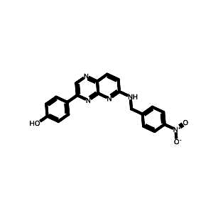 O=[N+]([O-])c1ccc(CNc2ccc3ncc(-c4ccc(O)cc4)nc3n2)cc1